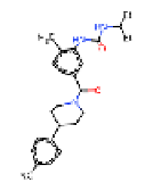 CCC(CC)NC(=O)Nc1cc(C(=O)N2CCC(c3ccc(C#N)cc3)CC2)ccc1C